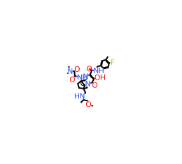 COCC(C)NCC12CCC(NC(=O)C(=O)N(C)C)(CC1)c1nc(C(=O)NCc3ccc(F)c(C)c3)c(O)c(=O)n1C2